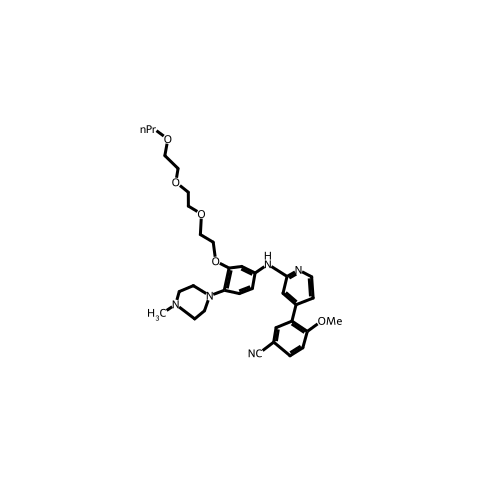 CCCOCCOCCOCCOc1cc(Nc2cc(-c3cc(C#N)ccc3OC)ccn2)ccc1N1CCN(C)CC1